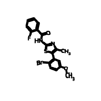 COc1ccc(Br)c(-c2sc(NC(=O)c3ccccc3F)nc2C)c1